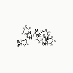 O=C(c1nc(N2CCC(F)(F)C2)c2cnccn12)N1CC[C@](O)(c2ccccc2)[C@H]2CCCC[C@H]21